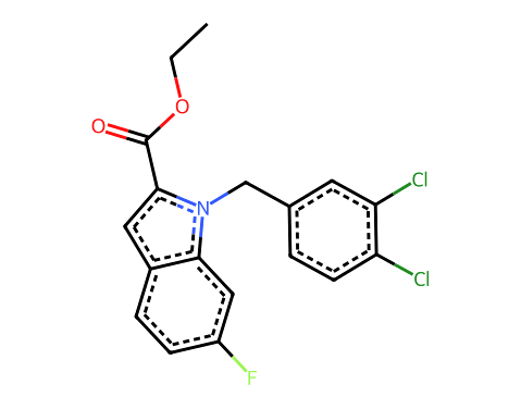 CCOC(=O)c1cc2ccc(F)cc2n1Cc1ccc(Cl)c(Cl)c1